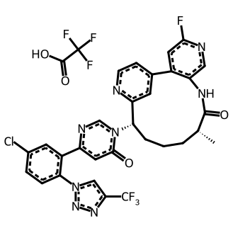 C[C@@H]1CCC[C@H](n2cnc(-c3cc(Cl)ccc3-n3cc(C(F)(F)F)nn3)cc2=O)c2cc(ccn2)-c2cc(F)ncc2NC1=O.O=C(O)C(F)(F)F